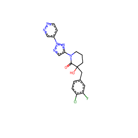 O=C1N(c2cnn(-c3ccnnc3)n2)CCCC1(O)Cc1ccc(Cl)c(F)c1